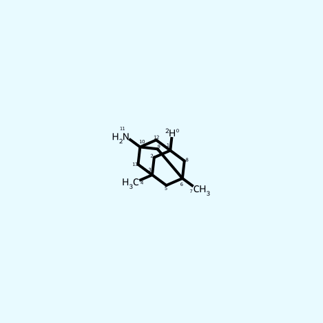 [2H]C12CC3(C)CC(C)(C1)CC(N)(C2)C3